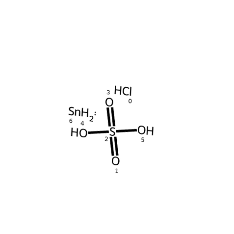 Cl.O=S(=O)(O)O.[SnH2]